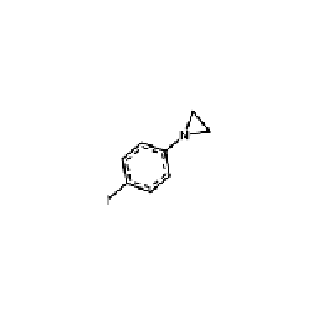 Ic1ccc(N2CC2)cc1